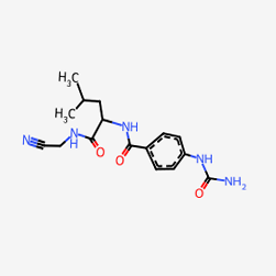 CC(C)CC(NC(=O)c1ccc(NC(N)=O)cc1)C(=O)NCC#N